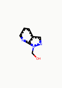 OCn1ncc2cccnc21